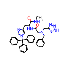 CNC(=O)C(Cc1cn(C(c2ccccc2)(c2ccccc2)c2ccccc2)cn1)NC(=O)CN(Cc1ccccc1)Cc1nn[nH]n1